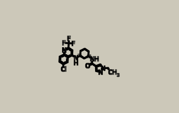 CCn1cc(C(=O)N[C@@H]2CCC[C@H](Nc3cc(C(F)(F)F)nc4ccc(Cl)cc34)C2)cn1